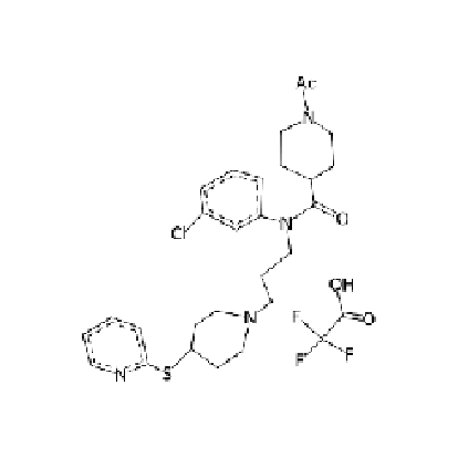 CC(=O)N1CCC(C(=O)N(CCCN2CCC(Sc3ccccn3)CC2)c2cccc(Cl)c2)CC1.O=C(O)C(F)(F)F